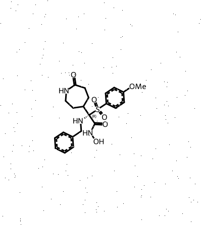 COc1ccc(S(=O)(=O)[C@@](NCc2ccccc2)(C(=O)NO)C2CCNC(=O)CC2)cc1